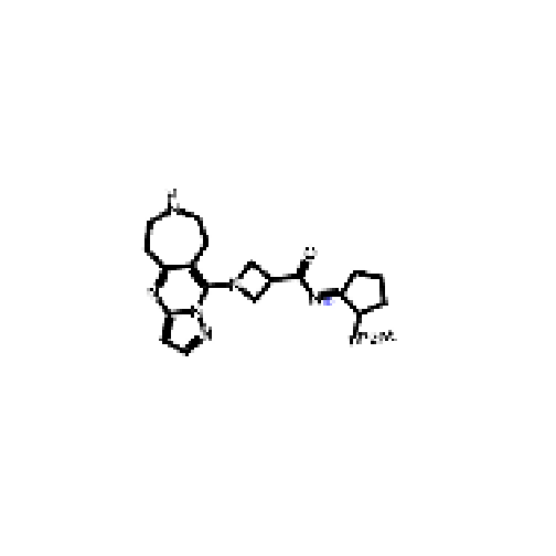 CCCCCC1CCC/C1=N\C(=O)C1CN(c2c3c(nc4ccnn24)CCNCC3)C1